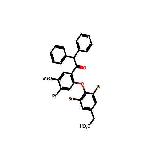 COc1cc(C(=O)C(c2ccccc2)c2ccccc2)c(Oc2c(Br)cc(CC(=O)O)cc2Br)cc1C(C)C